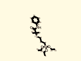 CCO[Si](CCCSC(C)(C)C(=O)Nc1ccccc1)(OCC)OCC